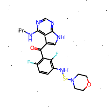 CC(C)Nc1ncnc2[nH]cc(C(=O)c3c(F)ccc(NSN4CCOCC4)c3F)c12